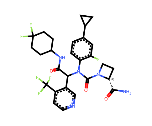 NC(=O)[C@H]1CCN1C(=O)N(c1ccc(C2CC2)cc1F)C(C(=O)NC1CCC(F)(F)CC1)c1cnccc1C(F)(F)F